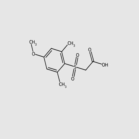 COc1cc(C)c(S(=O)(=O)CC(=O)O)c(C)c1